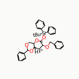 C[C@@H]1C(OCc2ccccc2)[C@H](O[Si](c2ccccc2)(c2ccccc2)C(C)(C)C)OC2COC(c3ccccc3)O[C@H]21